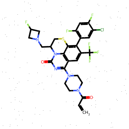 C=CC(=O)N1CCN(c2nc(=O)n3c4c(c(-c5cc(Cl)c(F)cc5F)c(C(F)(F)F)cc24)SCC3CN2CC(F)C2)CC1